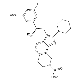 COC(=O)N1CCc2ccc3c(nc(C4CCCCC4)n3C[C@@H](C(=O)O)c3cc(F)cc(OC)c3)c2C1